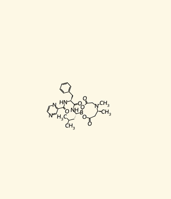 CC(C)C[C@H](NC(=O)[C@H](Cc1ccccc1)NC(=O)c1cnccn1)B1OC(=O)C[C@H](C)N(C)CC(=O)O1